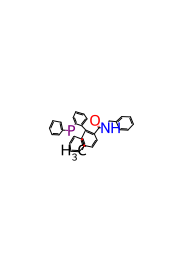 Cc1ccc(C(=O)NCc2ccccc2)c(-c2ccccc2P(c2ccccc2)c2ccccc2)c1